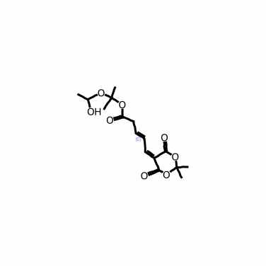 CC(O)OC(C)(C)OC(=O)C/C=C/C=C1C(=O)OC(C)(C)OC1=O